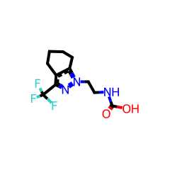 O=C(O)NCCn1nc(C(F)(F)F)c2c1CCCC2